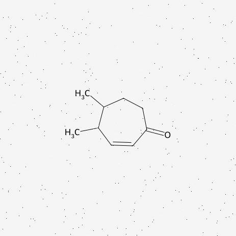 CC1C=CC(=O)CCC1C